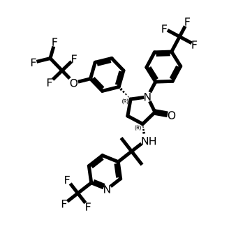 CC(C)(N[C@@H]1C[C@H](c2cccc(OC(F)(F)C(F)F)c2)N(c2ccc(C(F)(F)F)cc2)C1=O)c1ccc(C(F)(F)F)nc1